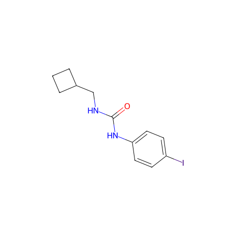 O=C(NCC1CCC1)Nc1ccc(I)cc1